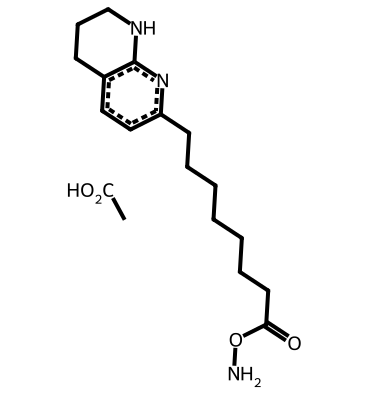 CC(=O)O.NOC(=O)CCCCCCCc1ccc2c(n1)NCCC2